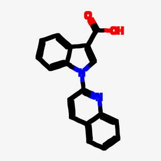 O=C(O)c1cn(-c2ccc3ccccc3n2)c2ccccc12